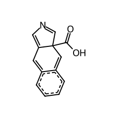 O=C(O)C12C=NC=C1C=c1ccccc1=C2